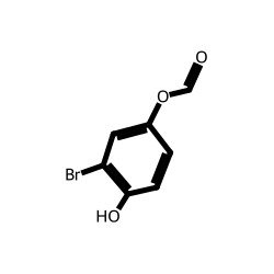 O=COc1ccc(O)c(Br)c1